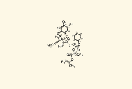 CC#C[C@@]1(N)C(O)[C@@H](CO[P@](=O)(Oc2ccccc2)O[C@@H](C)C(=O)OC(C)C)O[C@H]1n1cc(F)c(=O)[nH]c1=O